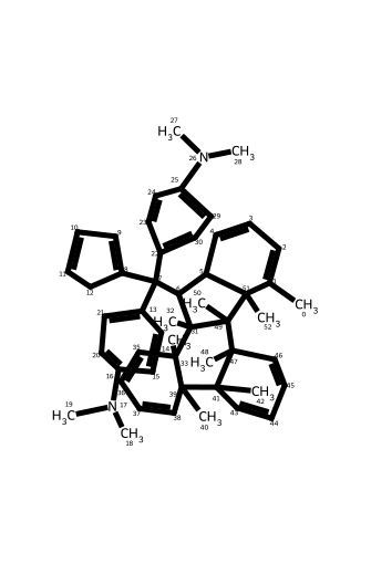 CC1=CC=CC2C(C(C3=CC=CC3)(c3ccc(N(C)C)cc3)c3ccc(N(C)C)cc3)C3(C)C4(C)C=CC=CC4(C)C4(C)C=CC=CC4(C)C3(C)C12C